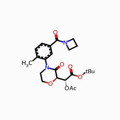 CC(=O)O[C@@H](C(=O)OC(C)(C)C)[C@H]1OCCN(c2cc(C(=O)N3CCC3)ccc2C)C1=O